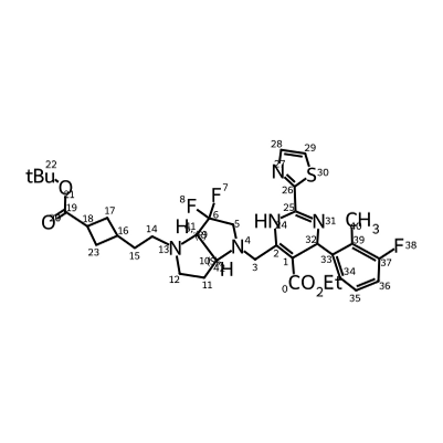 CCOC(=O)C1=C(CN2CC(F)(F)[C@H]3[C@@H]2CCN3CCC2CC(C(=O)OC(C)(C)C)C2)NC(c2nccs2)=NC1c1cccc(F)c1C